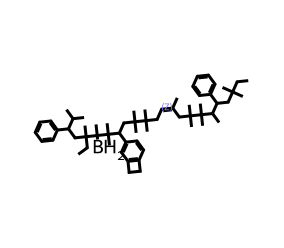 BC(C)(C(C)(CC)CC(c1ccccc1)C(C)C)C(C)(C)C(CC(C)(C)C(C)(C)C/C=C(/C)CC(C)(C)C(C)(C)C(C)C(CC(C)(C)CC)c1ccccc1)c1ccc2c(c1)CC2